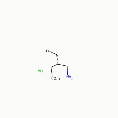 CC(C)C[C@H](CN)CC(=O)O.Cl